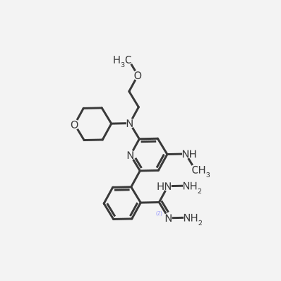 CNc1cc(-c2ccccc2/C(=N/N)NN)nc(N(CCOC)C2CCOCC2)c1